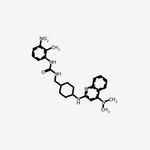 Cc1c(NC(=O)NCC2CCC(Nc3cc(N(C)C)c4ccccc4n3)CC2)cccc1[N+](=O)[O-]